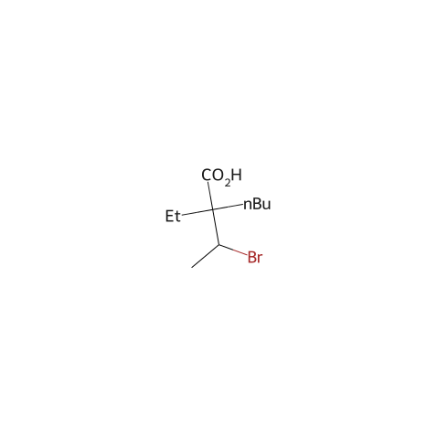 CCCCC(CC)(C(=O)O)C(C)Br